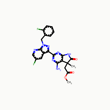 COC(=O)CC1(C)C(=O)Nc2nc(-c3nn(Cc4ccccc4F)c4ncc(F)cc34)nc(N)c21